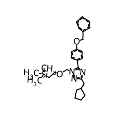 C[Si](C)(C)CCOCn1nc(CC2CCCC2)nc1-c1ccc(OCc2ccccc2)cc1